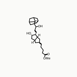 COC(=O)CCCC=C1C[C@@H]2C[C@H](O)[C@@H](C=CC(O)C34CC5CC(CC(C5)C3)C4)[C@@H]2C1